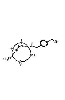 NC12CNCCNCC(NCc3ccc(CS)cc3)(CNCCNC1)CNCCNC2